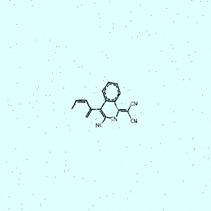 C=C(/C=C\C)C(=C(C#N)C#N)c1ccccc1C(C)=C(C#N)C#N